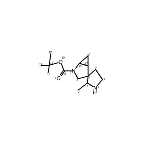 CC1NCCC12CN(C(=O)OC(C)(C)C)C1CC12